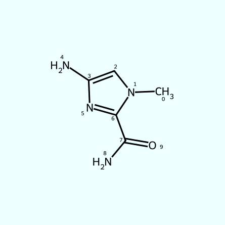 Cn1cc(N)nc1C(N)=O